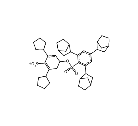 O=S(=O)(O)C1=C(C2CCCC2)CC(OS(=O)(=O)c2c(C3CC4CCC3C4)cc(C3CC4CCC3C4)cc2C2CC3CCC2C3)C=C1C1CCCC1